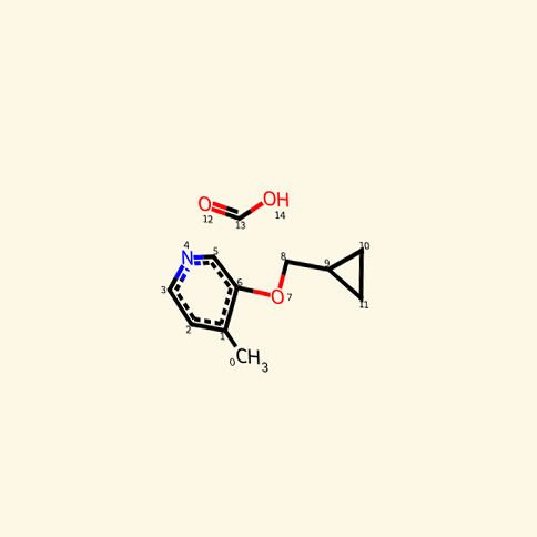 Cc1ccncc1OCC1CC1.O=CO